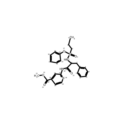 CCCP(=O)(NC(Cc1ccccc1)C(=O)Nc1cc(C(=O)OC)ccn1)Oc1ccccc1